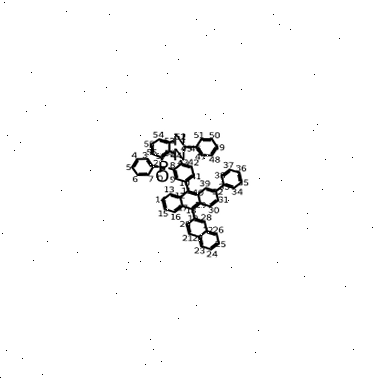 O=P1(c2ccccc2)c2cc(-c3c4ccccc4c(-c4ccc5ccccc5c4)c4ccc(-c5ccccc5)cc34)ccc2-n2c(-c3ccccc3)nc3cccc1c32